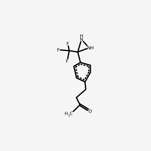 CC(=O)CCc1ccc(C2(C(F)(F)F)NN2)cc1